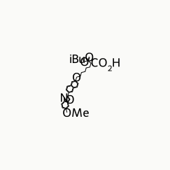 CCC(C)OC(=O)C(CCCCCOc1ccc2cc(-c3nc4ccc(OC)cc4o3)ccc2c1)C(=O)O